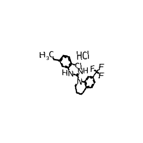 CCc1ccc(Cl)c(NC(=N)N2CCCc3ccc(C(F)(F)F)cc32)c1.Cl